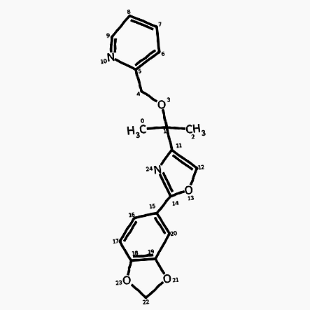 CC(C)(OCc1ccccn1)c1coc(-c2ccc3c(c2)OCO3)n1